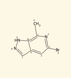 Cc1nc(Br)cc2cn[nH]c12